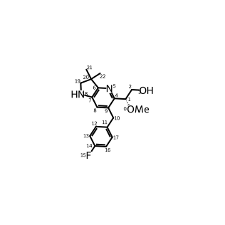 CO[C@@H](CO)c1nc2c(cc1Cc1ccc(F)cc1)NCC2(C)C